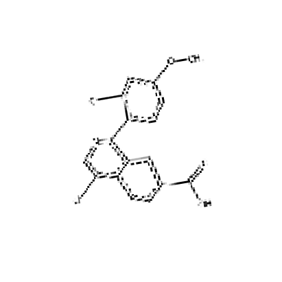 COc1ccc(-c2ncc(Cl)c3ccc(C(=O)O)cc23)c(Cl)c1